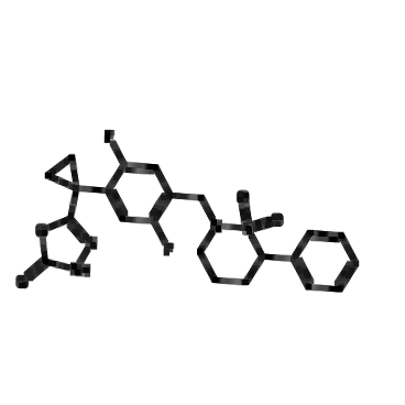 O=c1[nH]nc(C2(c3cc(F)c(CN4CCCC(c5ccccc5)S4(=O)=O)cc3F)CC2)o1